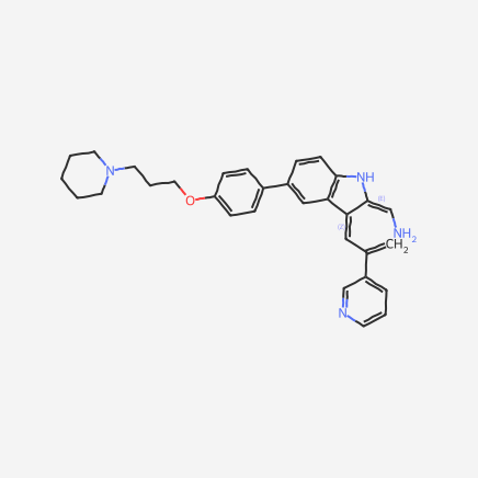 C=C(/C=c1\c(=C/N)[nH]c2ccc(-c3ccc(OCCCN4CCCCC4)cc3)cc12)c1cccnc1